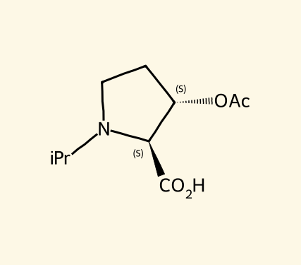 CC(=O)O[C@H]1CCN(C(C)C)[C@@H]1C(=O)O